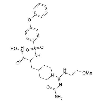 COCCN/C(=N/C(N)=O)N1CCC(CC(NS(=O)(=O)c2ccc(Oc3ccccc3)cc2)C(=O)NO)CC1